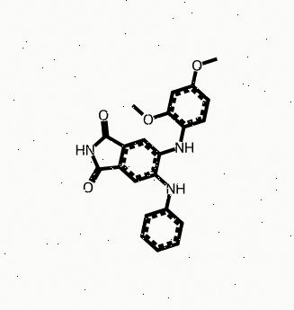 COc1ccc(Nc2cc3c(cc2Nc2ccccc2)C(=O)NC3=O)c(OC)c1